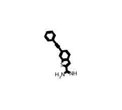 N=C(N)c1cc2ccc(C#Cc3ccccc3)cc2s1